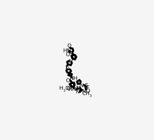 COc1cc(C(=O)NC2CC3(CCN(CC4CCN(c5cccc(N6CCC(=O)NC6=O)c5)CC4)CC3)C2)ccc1Nc1ncc2c(n1)N(C1CCCC1)CC(F)(F)C(=O)N2C